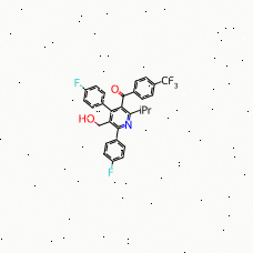 CC(C)c1nc(-c2ccc(F)cc2)c(CO)c(-c2ccc(F)cc2)c1C(=O)c1ccc(C(F)(F)F)cc1